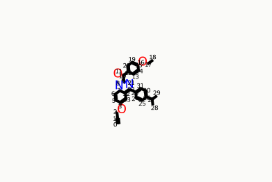 C#CCOc1ccc2nc(C(=O)c3ccc(OCC)cc3)nc(-c3ccc(C(C)C)cc3)c2c1